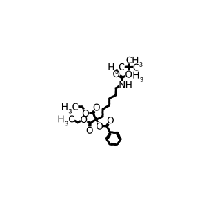 CCOC(=O)C(CCCCCCNC(=O)OC(C)(C)C)(OC(=O)c1ccccc1)C(=O)OCC